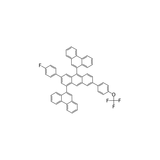 Fc1ccc(-c2cc(-c3cc4ccccc4c4ccccc34)c3cc4cc(-c5ccc(OC(F)(F)F)cc5)ccc4c(-c4cc5ccccc5c5ccccc45)c3c2)cc1